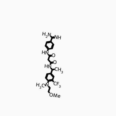 COCCN(C)c1ccc(C(C)NC(=O)CC(=O)Nc2ccc(C(=N)N)cc2)cc1C(F)(F)F